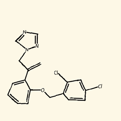 C=C(Cn1cncn1)c1ccccc1OCc1ccc(Cl)cc1Cl